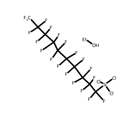 CCO.FC(F)(F)C(F)(F)C(F)(F)C(F)(F)C(F)(F)C(F)(F)C(F)(F)C(F)(F)C(F)(F)C(F)(F)[Si](Cl)(Cl)Cl